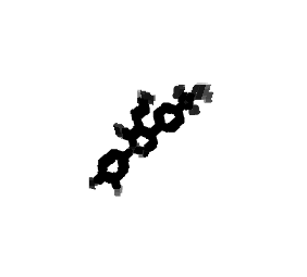 CC(C)CCc1c(-c2ccc(S(C)(=O)=O)cc2)cnn(-c2ccc(F)c(F)c2)c1=O